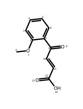 COc1ccccc1C(=O)C=CC(=O)O